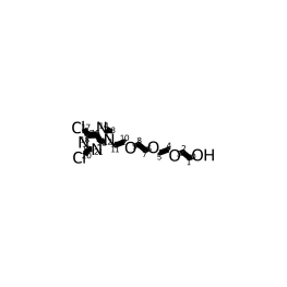 OCCOCCOCCOCCn1cnc2c(Cl)nc(Cl)nc21